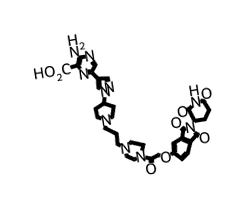 Nc1ncc(-c2cnn(C3CCN(CCCN4CCN(C(=O)COc5ccc6c(c5)C(=O)N(C5CCC(=O)NC5=O)C6=O)CC4)CC3)c2)nc1C(=O)O